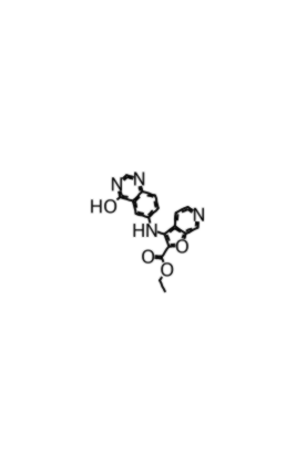 CCOC(=O)c1oc2cnccc2c1Nc1ccc2ncnc(O)c2c1